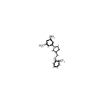 Cc1cc(N)cc(N2CCC(COc3ccccc3C(F)(F)F)C2)c1